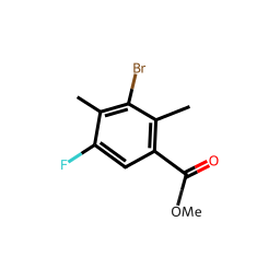 COC(=O)c1cc(F)c(C)c(Br)c1C